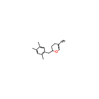 CCCC1=COC(Cc2cc(C)c(C)cc2C)CC1